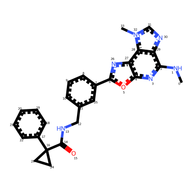 CNc1nc2oc(-c3cccc(CNC(=O)C4(c5ccccc5)CC4)c3)nc2c2c1ncn2C